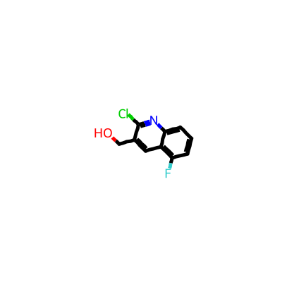 OCc1cc2c(F)cccc2nc1Cl